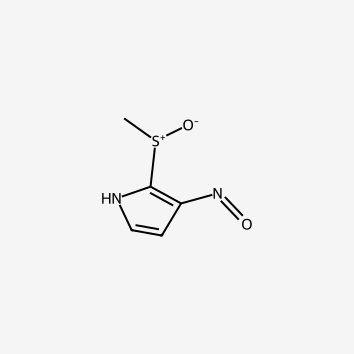 C[S+]([O-])c1[nH]ccc1N=O